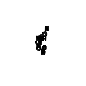 N#Cc1cccc(Cc2nc3ccc(N4CCC[C@@H](C(=O)N5CCCC5)C4)nc3[nH]2)c1